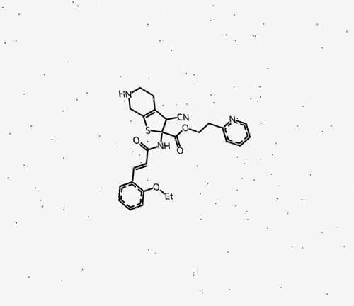 CCOc1ccccc1C=CC(=O)NC1(C(=O)OCCc2ccccn2)SC2=C(CCNC2)C1C#N